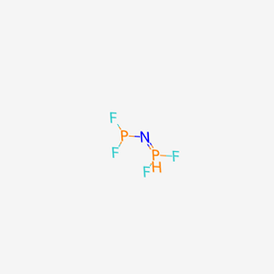 FP(F)N=[PH](F)F